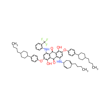 CCCCC1=CCC(Nc2cc(Oc3ccc(C4CCC(CCCC)CC4)cc3)c(O)c3c2C(=O)c2c(O)c(Oc4ccc(C5CCC(CCCC)CC5)cc4)cc(Nc4ccccc4C(F)(F)F)c2C3=O)C=CC1